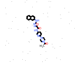 CC(=O)N1CCN(c2ccc(NC(=O)c3nnc(Nc4ccc5ccccc5c4)o3)cn2)CC1